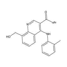 CCCC(=O)c1cnc2c(CO)cccc2c1Nc1ccccc1C